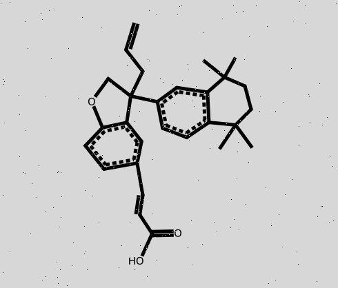 C=CCC1(c2ccc3c(c2)C(C)(C)CCC3(C)C)COc2ccc(/C=C/C(=O)O)cc21